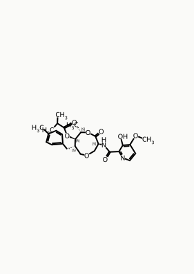 COc1ccnc(C(=O)N[C@H]2COC[C@H](Cc3ccc(C)cc3)[C@@H](OC(=O)C(C)C)[C@H](C)OC2=O)c1O